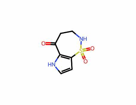 O=C1CCNS(=O)(=O)c2cc[nH]c21